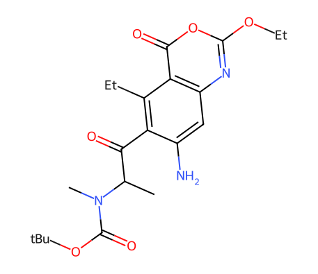 CCOc1nc2cc(N)c(C(=O)C(C)N(C)C(=O)OC(C)(C)C)c(CC)c2c(=O)o1